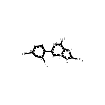 Cc1nc2c(Cl)nc(-c3ccc(Cl)cc3Cl)cn2n1